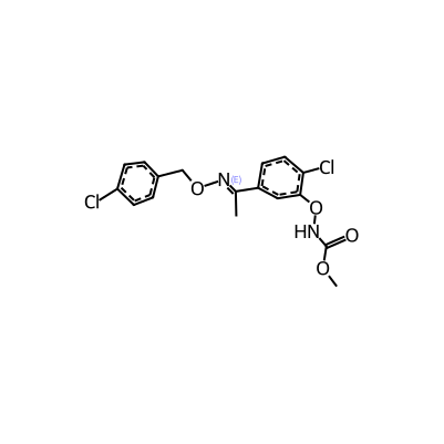 COC(=O)NOc1cc(/C(C)=N/OCc2ccc(Cl)cc2)ccc1Cl